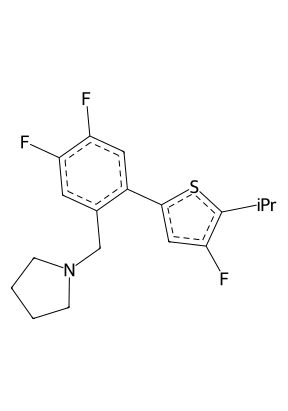 CC(C)c1sc(-c2cc(F)c(F)cc2CN2CCCC2)cc1F